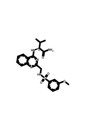 COc1cccc(S(=O)(=O)NCc2nc(N[C@H](C(N)=O)C(C)C)c3ccccc3n2)c1